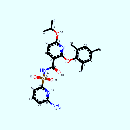 Cc1cc(C)c(Oc2nc(OC(C)C)ccc2C(=O)NS(=O)(=O)c2cccc(N)n2)c(C)c1